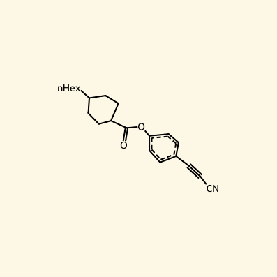 CCCCCCC1CCC(C(=O)Oc2ccc(C#CC#N)cc2)CC1